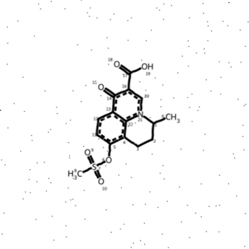 CC1CCc2c(OS(C)(=O)=O)ccc3c(=O)c(C(=O)O)cn1c23